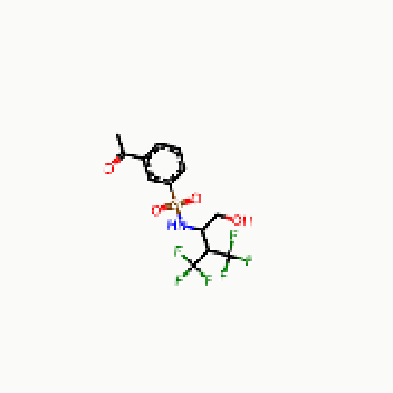 CC(=O)c1cccc(S(=O)(=O)NC(CO)C(C(F)(F)F)C(F)(F)F)c1